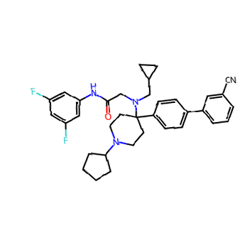 N#Cc1cccc(-c2ccc(C3(N(CC(=O)Nc4cc(F)cc(F)c4)CC4CC4)CCN(C4CCCC4)CC3)cc2)c1